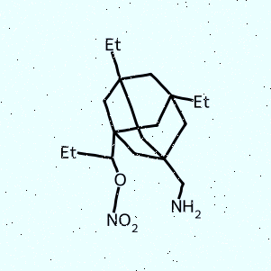 CCC(O[N+](=O)[O-])C12CC3(CC)CC(CC)(CC(CN)(C3)C1)C2